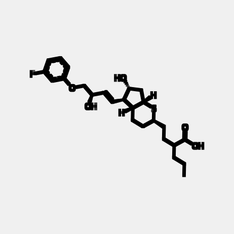 CCCC(CC[C@H]1CC[C@@H]2[C@@H](C=C[C@@H](O)COc3cccc(F)c3)[C@H](O)C[C@@H]2S1)C(=O)O